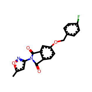 Cc1cc(N2C(=O)c3ccc(OCc4ccc(F)cc4)cc3C2=O)no1